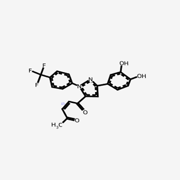 CC(=O)/C=C\C(=O)c1cc(-c2ccc(O)c(O)c2)nn1-c1ccc(C(F)(F)F)cc1